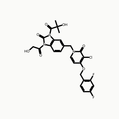 CC(C)(O)C(=O)n1c(=O)n(C(=O)CO)c2ccc(Cn3ccc(OCc4ccc(F)cc4F)c(Cl)c3=O)cc21